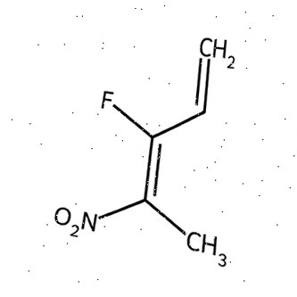 C=C/C(F)=C(\C)[N+](=O)[O-]